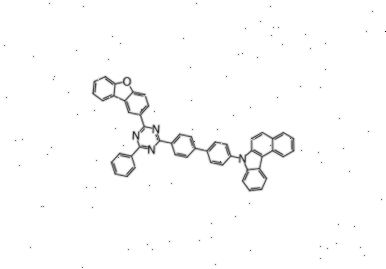 c1ccc(-c2nc(-c3ccc(-c4ccc(-n5c6ccccc6c6c7ccccc7ccc65)cc4)cc3)nc(-c3ccc4oc5ccccc5c4c3)n2)cc1